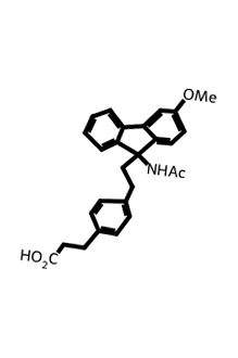 COc1ccc2c(c1)-c1ccccc1C2(CCc1ccc(CCC(=O)O)cc1)NC(C)=O